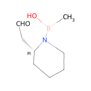 CB(O)N1CCCC[C@@H]1CC=O